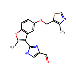 Cc1ncsc1COc1ccc2oc(C)c(-c3nc(C=O)c[nH]3)c2c1